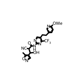 COc1ccc(CCc2cnc(NC(=O)C(C#N)C(O)c3cnoc3C)nc2C(F)(F)F)cn1